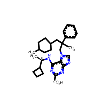 CC1CCC(CC(C)(Cn2cnc3nc(C(=O)O)nc(N[C@H](C)C4CCC4)c32)c2ccccc2)CC1